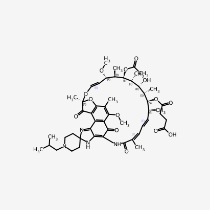 COc1c(C)c2c3c4c1C(=O)C(=C1NC5(CCN(CC(C)C)CC5)N=C14)NC(=O)/C(C)=C\C=C\[C@H](C)[C@H](OC(=O)CCC(=O)O)[C@@H](C)[C@@H](O)[C@@H](C)[C@H](OC(C)=O)[C@H](C)[C@@H](OC)/C=C/O[C@@](C)(O2)C3=O